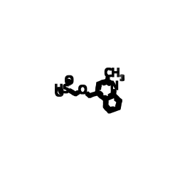 Cc1cc(COC[SH](=O)=O)c2ccccc2n1